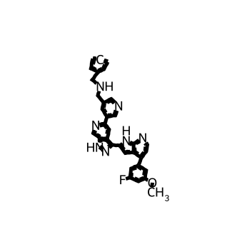 COc1cc(F)cc(-c2ccnc3[nH]c(-c4n[nH]c5cnc(-c6cncc(CNCc7ccccc7)c6)cc45)cc23)c1